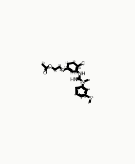 CSc1cccc(N(C)C(=N)NC2=C(Cl)CCC(SCCOC(C)=O)=C2)c1